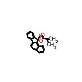 C=C(C)C(=O)OC1(C(C)C)c2ccccc2-c2ccc3ccccc3c21